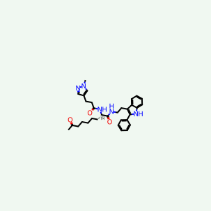 CC(=O)CCCCC[C@H](NC(=O)CCc1cnn(C)c1)C(=O)NCCc1c(-c2ccccc2)[nH]c2ccccc12